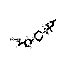 CC1=CC(C)(S(=O)(=O)N2CCN(c3ncc(C(=O)NO)s3)CC2)NO1